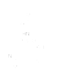 COC(=O)c1ccc(-c2ccccc2)cc1NS(=O)(=O)c1cc(C(=O)N(C)C)cc(Cl)c1O